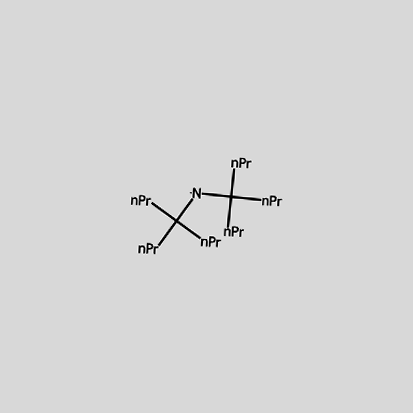 CCCC(CCC)(CCC)[N]C(CCC)(CCC)CCC